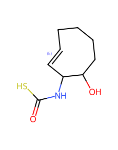 O=C(S)NC1/C=C/CCCCC1O